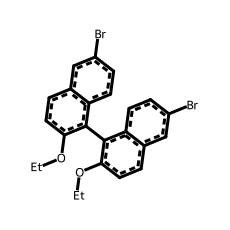 CCOc1ccc2cc(Br)ccc2c1-c1c(OCC)ccc2cc(Br)ccc12